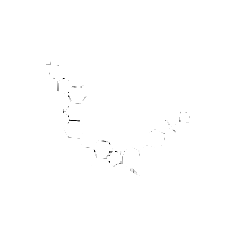 Cc1c(CN2CCC(Nc3ncnc4sc(CC(F)(F)F)cc34)CC2)ccc2c1cc(C#N)n2CC(C)N1CCN(S(=O)(=O)C2CCC2)CC1